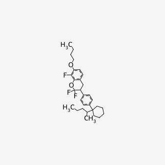 CCCCOc1ccc2c(c1F)OC(F)(F)C(c1ccc(C3(C(C)CCC)CCCCC3)cc1)C2